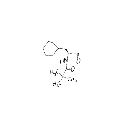 CC(C)(C)C(=O)N[C@H](C=O)CC1CCCCC1